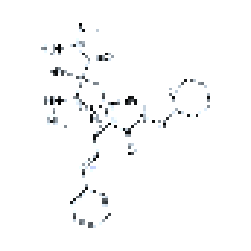 CCCC(C[C@](C)(CCC)[C@H](C/C=C/c1ccccc1)C(=O)NOC1CCCCO1)(C(=O)NN)C(=O)[C@@H](C)N